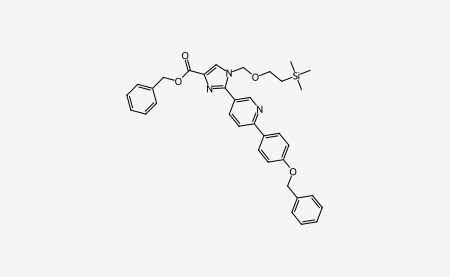 C[Si](C)(C)CCOCn1cc(C(=O)OCc2ccccc2)nc1-c1ccc(-c2ccc(OCc3ccccc3)cc2)nc1